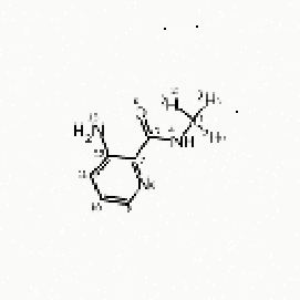 [2H]C([2H])([2H])NC(=O)c1ncccc1N